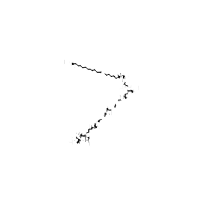 C[C@@H](O)[C@H](NC(=O)[C@H](CCCCNC(=O)COCCOCCNC(=O)COCCOCCNC(=O)CC[C@H](NC(=O)CC[C@H](NC(=O)CCCCCCCCCCCCCCCCCCC(=O)O)C(=O)O)C(=O)O)NI)C(N)=O